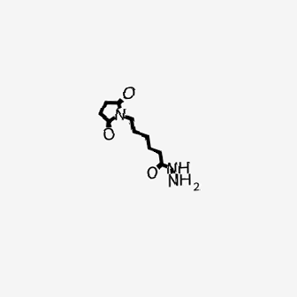 NNC(=O)CCCCCN1C(=O)CCC1=O